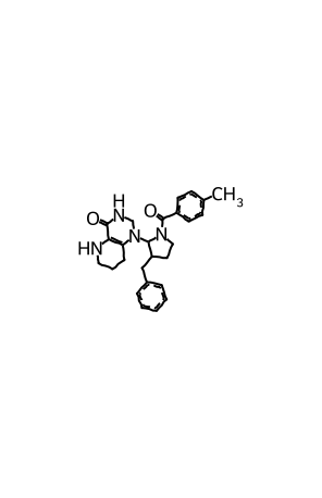 Cc1ccc(C(=O)N2CCC(Cc3ccccc3)C2N2CNC(=O)C3=C2CCCN3)cc1